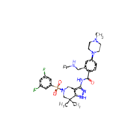 CC(C)NCc1cc(N2CCN(C)CC2)ccc1C(=O)Nc1n[nH]c2c1CN(S(=O)(=O)c1cc(F)cc(F)c1)CC2(C)C